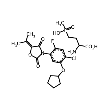 CC(C)=C1OC(=O)N(c2cc(OC3CCCC3)c(Cl)cc2F)C1=O.CP(=O)(O)CCC(N)C(=O)O